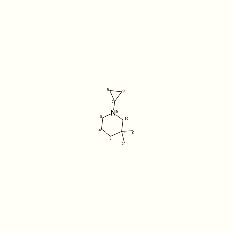 CC1(C)CCCN(C2CC2)C1